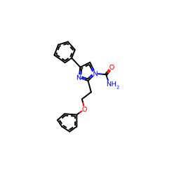 NC(=O)n1cc(-c2ccccc2)nc1CCOc1ccccc1